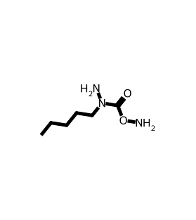 CCCCCN(N)C(=O)ON